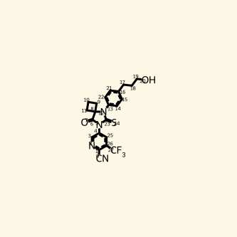 N#Cc1ncc(N2C(=O)C3(CCC3)N(c3ccc(CCCO)cc3)C2=S)cc1C(F)(F)F